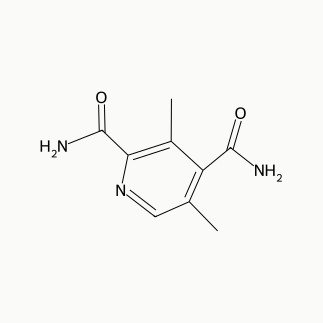 Cc1cnc(C(N)=O)c(C)c1C(N)=O